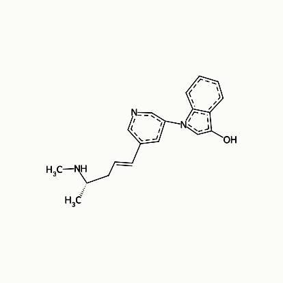 CN[C@@H](C)C/C=C/c1cncc(-n2cc(O)c3ccccc32)c1